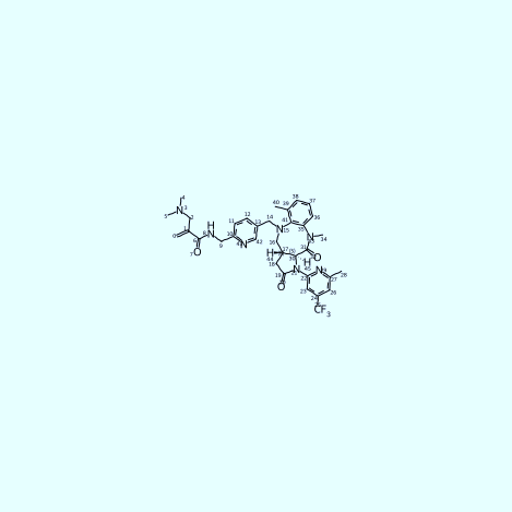 C=C(CN(C)C)C(=O)NCc1ccc(CN2C[C@H]3CC(=O)N(c4cc(C(F)(F)F)cc(C)n4)[C@@H]3C(=O)N(C)c3cccc(C)c32)cn1